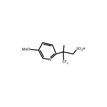 COc1ccc(C(C)(CS(=O)(=O)O)C(F)(F)F)nc1